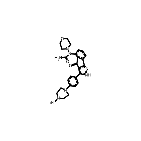 CC(C)N1CCN(c2ccc(-c3[nH]nc4c3C(=O)c3c-4cccc3N(C(N)=O)N3CCOCC3)cc2)CC1